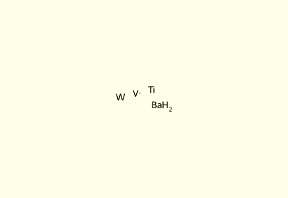 [BaH2].[Ti].[V].[W]